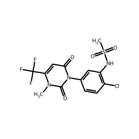 Cn1c(C(F)(F)F)cc(=O)n(-c2ccc(Cl)c(NS(C)(=O)=O)c2)c1=O